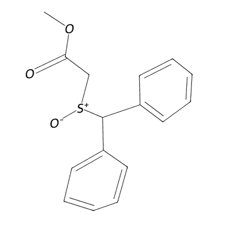 COC(=O)C[S+]([O-])C(c1ccccc1)c1ccccc1